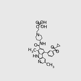 Cc1cnc2[nH]c3c(C)c(C(=O)NC4CCN(CCOP(=O)(O)O)CC4)cc(-c4cccc(S(=O)(=O)C5CC5)c4)c3c2c1